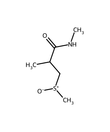 CNC(=O)C(C)C[S+](C)[O-]